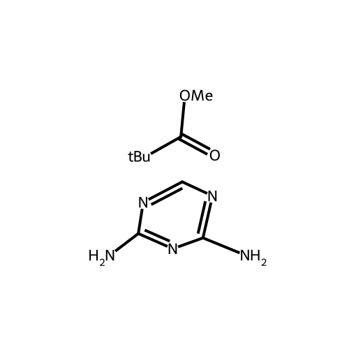 Nc1ncnc(N)n1.[CH2]OC(=O)C(C)(C)C